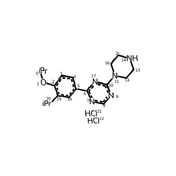 CC(C)Oc1ccc(-c2ncnc(N3CCNCC3)n2)cc1C(C)C.Cl.Cl